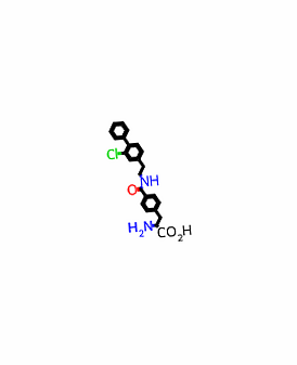 NC(Cc1ccc(C(=O)NCCc2ccc(-c3ccccc3)c(Cl)c2)cc1)C(=O)O